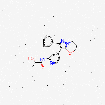 CC(O)C(=O)Nc1cc(-c2c(-c3ccccc3)nn3c2OCCC3)ccn1